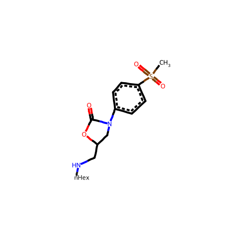 CCCCCCNCC1CN(c2ccc(S(C)(=O)=O)cc2)C(=O)O1